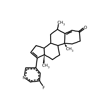 CC1CC2C(CC[C@]3(C)C(c4cncc(F)c4)=CCC23)[C@@]2(C)CCC(=O)C=C12